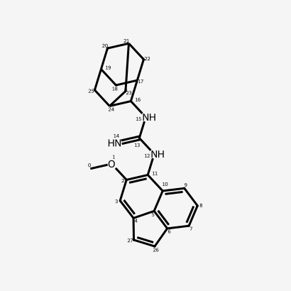 COc1cc2c3c(cccc3c1NC(=N)NC1C3CC4CC(C3)CC1C4)C=C2